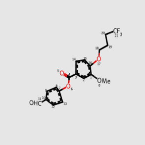 COc1cc(C(=O)Oc2ccc(C=O)cc2)ccc1OCCCC(F)(F)F